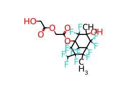 CC1(O)C(F)(F)C2(F)C(C)(F)C(F)(C(F)F)C(F)(F)C(OC(=O)COC(=O)CO)(C1(F)F)C2(F)F